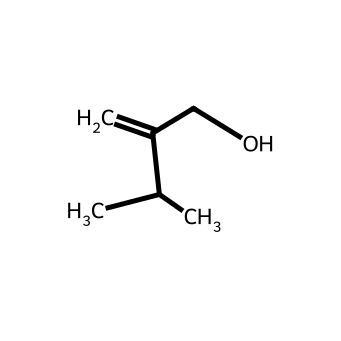 C=C(CO)C(C)C